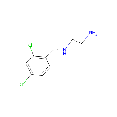 NCCNCc1ccc(Cl)cc1Cl